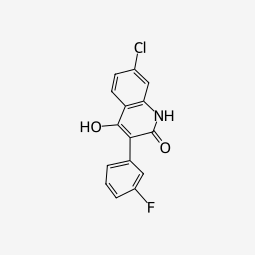 O=c1[nH]c2cc(Cl)ccc2c(O)c1-c1cccc(F)c1